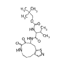 CC(C)C(NC(=O)OCC(C)(C)C)C(=O)NC1Cc2sncc2CCCNC(=O)C1=O